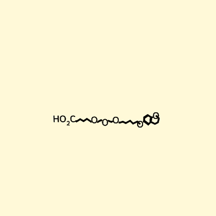 O=C(O)CCCCCOCCOCCOCCCCCCOc1ccc2c(c1)CCCO2